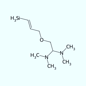 CN(C)C(COCC=C[SiH3])N(C)C